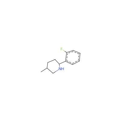 CC1CCC(c2ccccc2F)NC1